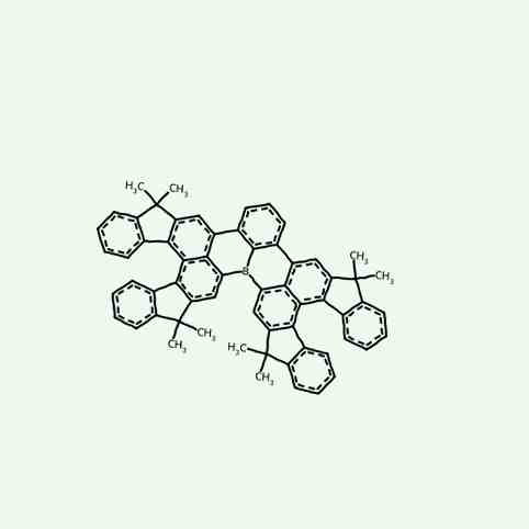 CC1(C)c2ccccc2-c2c1cc1c3c(cc4c(c23)-c2ccccc2C4(C)C)-c2cccc3c2B1c1cc2c(c4c5c(cc-3c14)C(C)(C)c1ccccc1-5)-c1ccccc1C2(C)C